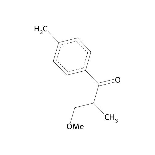 COCC(C)C(=O)c1ccc(C)cc1